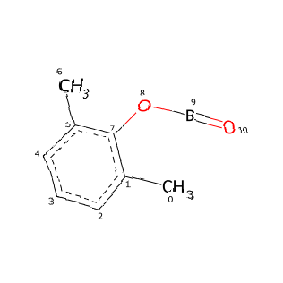 Cc1cccc(C)c1OB=O